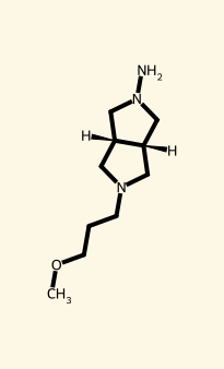 COCCCN1C[C@H]2CN(N)C[C@H]2C1